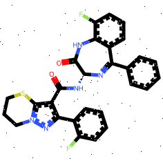 O=C(N[C@H]1N=C(c2ccccc2)c2cccc(F)c2NC1=O)c1c(-c2ccccc2F)nn2c1SCCC2